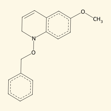 COc1ccc2c(c1)C=CCN2OCc1ccccc1